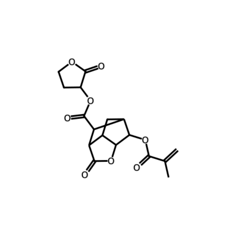 C=C(C)C(=O)OC1C2CC3C1OC(=O)C3C2C(=O)OC1CCOC1=O